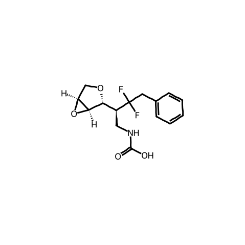 O=C(O)NC[C@@H]([C@H]1OC[C@@H]2O[C@H]12)C(F)(F)Cc1ccccc1